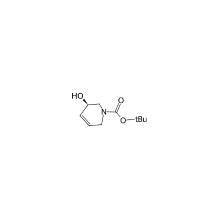 CC(C)(C)OC(=O)N1CC=C[C@@H](O)C1